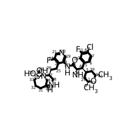 C[C@@H]1CC([C@H](c2ccc(Cl)c(F)c2)[C@H](N)C(=O)Nc2cncc(F)c2CC[C@H]2CN[C@@H]3CCCS(O)(O)N2C3)C[C@H](C)O1